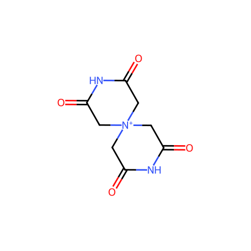 O=C1C[N+]2(CC(=O)N1)CC(=O)NC(=O)C2